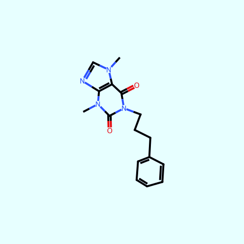 Cn1cnc2c1c(=O)n(CCCc1ccccc1)c(=O)n2C